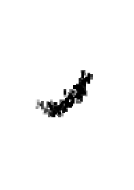 C[C@@H](SC(=N)N)[C@H](F)[C@@H](C)c1cc(NC(=O)c2cnc(OCC(F)F)cn2)ccc1F